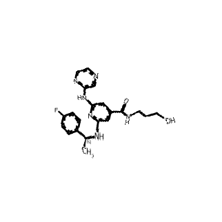 C[C@H](Nc1cc(C(=O)NCCCO)cc(Nc2cnccn2)n1)c1ccc(F)cc1